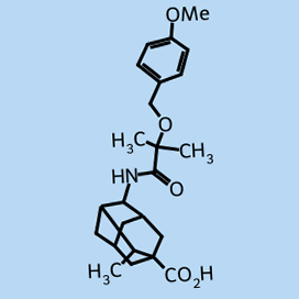 COc1ccc(COC(C)(C)C(=O)NC2C3CC4CC2C(C)C(C(=O)O)(C4)C3)cc1